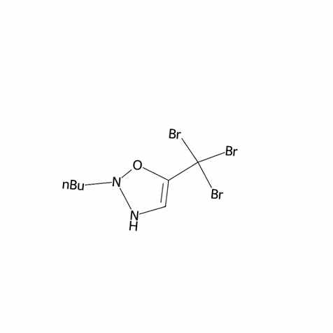 CCCCN1NC=C(C(Br)(Br)Br)O1